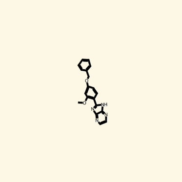 COc1cc(OCc2ccccc2)ccc1-c1nc2nccnc2[nH]1